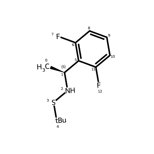 C[C@H](NSC(C)(C)C)c1c(F)cccc1F